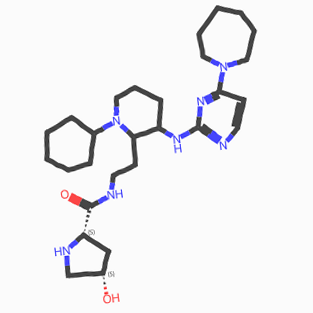 O=C(NCCC1C(Nc2nccc(N3CCCCCC3)n2)CCCN1C1CCCCC1)[C@@H]1C[C@H](O)CN1